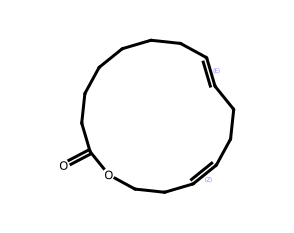 O=C1CCCCCC/C=C/CC/C=C\CCO1